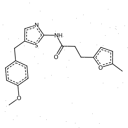 COc1ccc(Cc2cnc(NC(=O)CCc3ccc(C)o3)s2)cc1